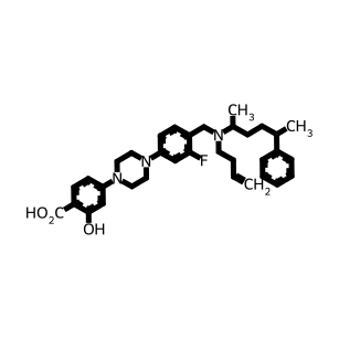 C=CCCN(Cc1ccc(N2CCN(c3ccc(C(=O)O)c(O)c3)CC2)cc1F)C(C)CCC(C)c1ccccc1